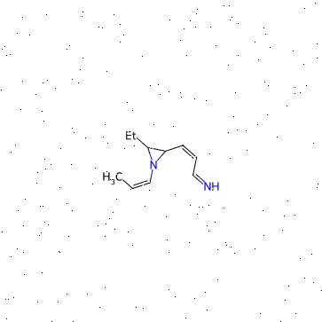 C/C=C\N1C(/C=C\C=N)C1CC